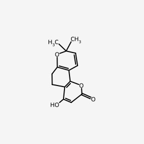 CC1(C)C=CC2=C(CCc3c(O)cc(=O)oc32)O1